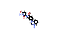 O=C1CCC(N2Cc3cc(N4CCN[C@@H]5CCCC[C@@H]54)ccc3C2=O)C(=O)N1